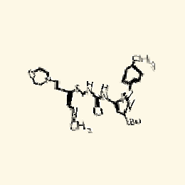 C=N/C=C(/CCN1CCOCC1)SCNC(=O)Nc1cc(C(C)(C)C)nn1-c1ccc(C)cc1